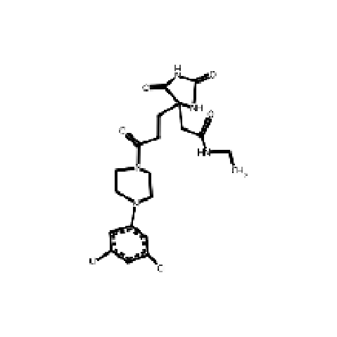 CCNC(=O)CC1(CCC(=O)N2CCN(c3cc(Cl)cc(Cl)c3)CC2)NC(=O)NC1=O